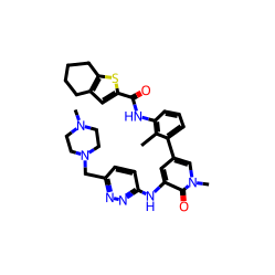 Cc1c(NC(=O)c2cc3c(s2)CCCC3)cccc1-c1cc(Nc2ccc(CN3CCN(C)CC3)nn2)c(=O)n(C)c1